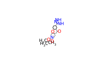 CC(C)(C)OC(=O)N1CCC2(CC1)CC(=O)c1cc(C(=N)N=N)ccc1O2